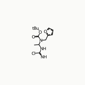 CC(NC(=N)Cl)N(Cc1ccco1)C(=O)OC(C)(C)C